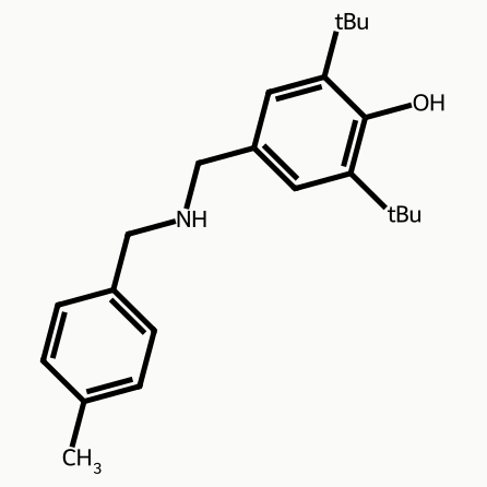 Cc1ccc(CNCc2cc(C(C)(C)C)c(O)c(C(C)(C)C)c2)cc1